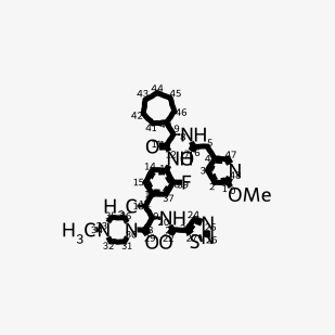 COc1ccc(CC(=O)N[C@H](C(=O)Nc2ccc([C@H](C)[C@@H](NC(=O)c3cnns3)C(=O)N3CCN(C)CC3)cc2F)C2CCCCCC2)cn1